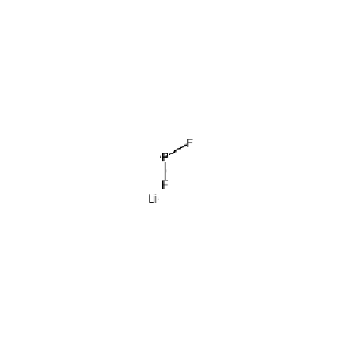 F[P]F.[Li]